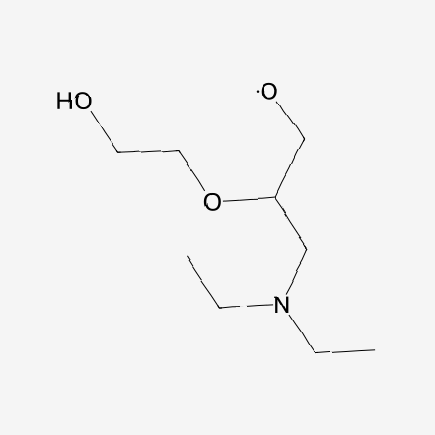 CCN(CC)CC(C[O])OCCO